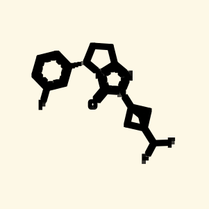 O=c1n(C23CC(C(F)F)(C2)C3)nc2n1[C@H](c1cccc(F)c1)CC2